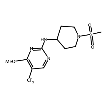 COc1nc(NC2CCN(S(C)(=O)=O)CC2)ncc1C(F)(F)F